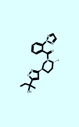 CCC(C)(O)c1cc([C@@H]2CC[C@@H](C)N(C(=O)c3ccccc3-n3nccn3)C2)no1